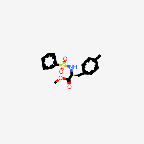 COC(=O)[C@H](Cc1ccc(C)cc1)NS(=O)(=O)c1ccccc1